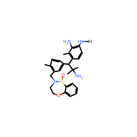 CCNc1ccc(C(c2ccc(C)c(CN3CCOc4ccccc4[S+]3[O-])c2)C(C)(C)N)c(C)c1N